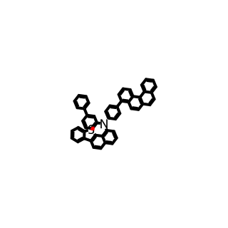 c1ccc(-c2cccc(N(c3ccc(-c4cccc5c4ccc4ccc6ccccc6c45)cc3)c3cccc4ccc5c6ccccc6sc5c34)c2)cc1